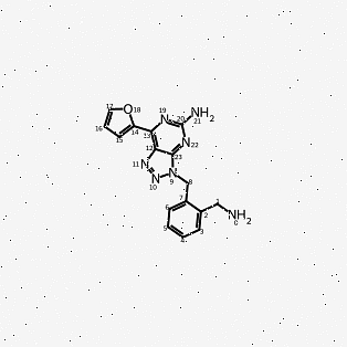 NCc1ccccc1Cn1nnc2c(-c3ccco3)nc(N)nc21